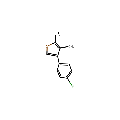 Cc1s[c]c(-c2ccc(F)cc2)c1C